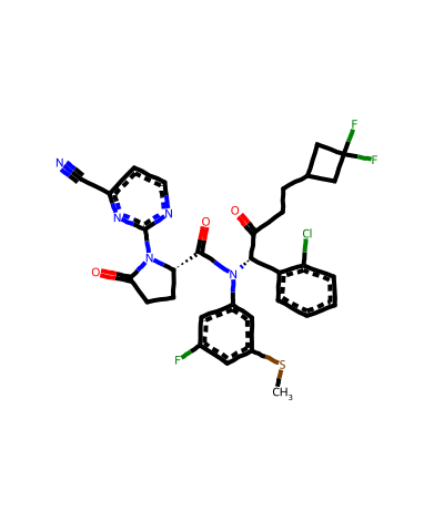 CSc1cc(F)cc(N(C(=O)[C@@H]2CCC(=O)N2c2nccc(C#N)n2)[C@H](C(=O)CCC2CC(F)(F)C2)c2ccccc2Cl)c1